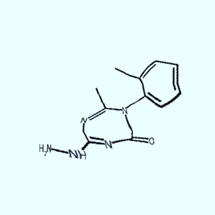 Cc1ccccc1-n1c(C)nc(NN)nc1=O